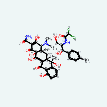 CN(C)[C@@H]1C(O)=C(C(N)=O)C(=O)[C@@]2(O)C(O)=C3C(=O)c4c(O)cccc4[C@@](C)(O)[C@H]3C[C@@H]12.O=C(N[C@H](CO)[C@H](O)c1ccc([N+](=O)[O-])cc1)C(Cl)Cl